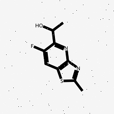 Cc1nc2nc(C(C)O)c(F)cc2s1